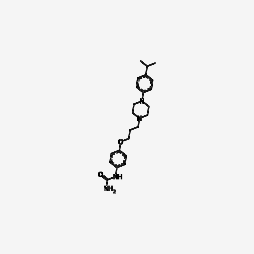 CC(C)c1ccc(N2CCN(CCCOc3ccc(NC(N)=O)cc3)CC2)cc1